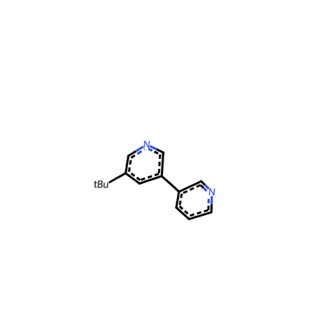 CC(C)(C)c1cncc(-c2cccnc2)c1